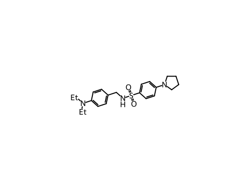 CCN(CC)c1ccc(CNS(=O)(=O)c2ccc(N3CCCC3)cc2)cc1